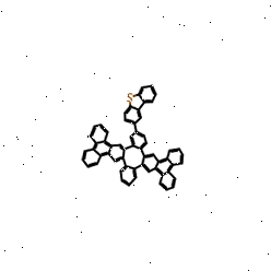 c1ccc2c(c1)-c1cc3c4ccccc4c4ccccc4c3cc1-c1ccc(-c3ccc4sc5ccccc5c4c3)cc1-c1cc3c4ccccc4c4ccccc4c3cc1-2